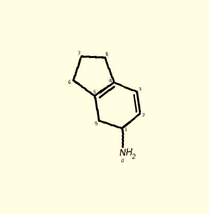 NC1C=CC2=C(CCC2)C1